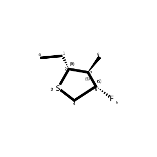 CC[C@H]1SC[C@@H](F)[C@@H]1C